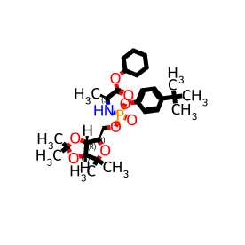 C[C@H](NP(=O)(OC[C@H]1OC(C)(C)[C@@H]2OC(C)(C)O[C@@H]21)Oc1ccc(C(C)(C)C)cc1)C(=O)OC1CCCCC1